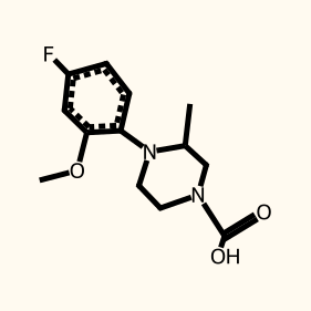 COc1cc(F)ccc1N1CCN(C(=O)O)CC1C